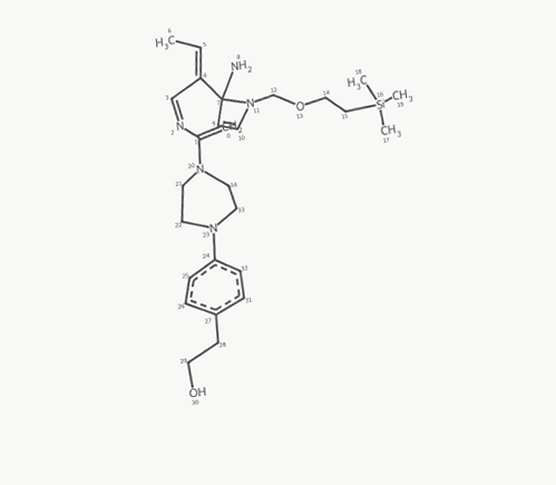 C=C(/N=C\C(=C/C)C1(N)C=CN1COCC[Si](C)(C)C)N1CCN(c2ccc(CCO)cc2)CC1